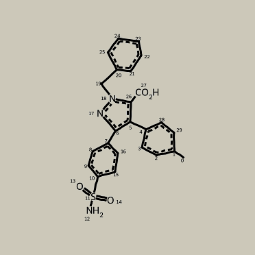 Cc1ccc(-c2c(-c3ccc(S(N)(=O)=O)cc3)nn(Cc3ccccc3)c2C(=O)O)cc1